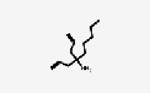 C=CCC(N)(CC=C)CCCCC